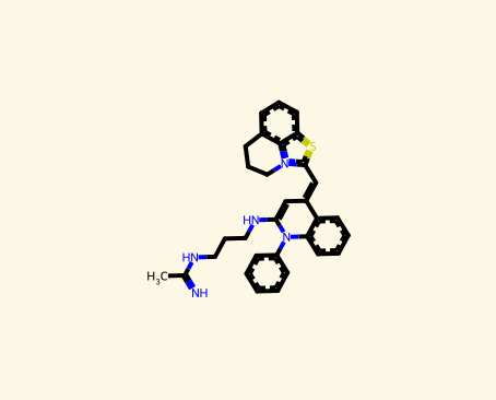 CC(=N)NCCCNC1=CC(=Cc2sc3cccc4c3[n+]2CCC4)c2ccccc2N1c1ccccc1